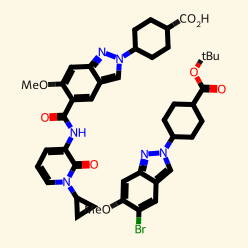 COc1cc2nn(C3CCC(C(=O)O)CC3)cc2cc1C(=O)Nc1cccn(C2CC2)c1=O.COc1cc2nn(C3CCC(C(=O)OC(C)(C)C)CC3)cc2cc1Br